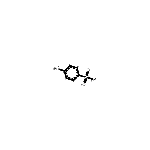 CC(C)S(=O)(=O)c1ccc(C(C)(C)C)cc1